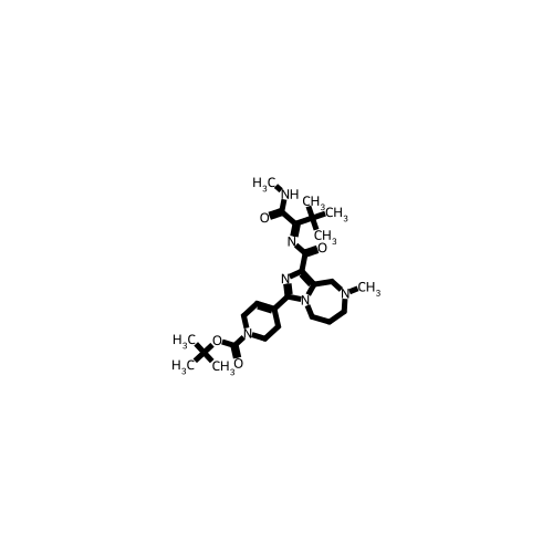 CNC(=O)/C(=N/C(=O)c1nc(C2=CCN(C(=O)OC(C)(C)C)CC2)n2c1CN(C)CCC2)C(C)(C)C